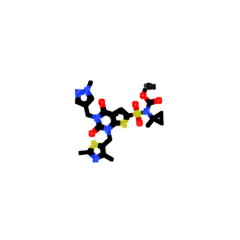 Cc1nc(C)c(Cn2c(=O)n(Cc3cnn(C)c3)c(=O)c3cc(S(=O)(=O)N(C(=O)OC(C)(C)C)C4(C)CC4)sc32)s1